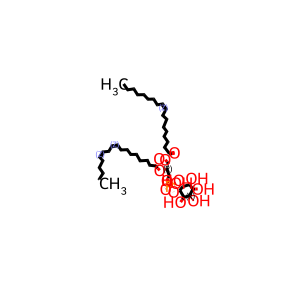 CCCCC/C=C\C/C=C\CCCCCCCC(=O)O[C@H](COC(=O)CCCCCCC/C=C\CCCCCCCC)COP(=O)(O)OC1C(O)C(O)C(O)[C@@H](O)C1O